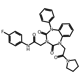 O=C(CN1C(=O)N(CC(=O)N2CCCC2)c2ccccc2N(c2ccccc2)C1=O)Nc1ccc(F)cc1